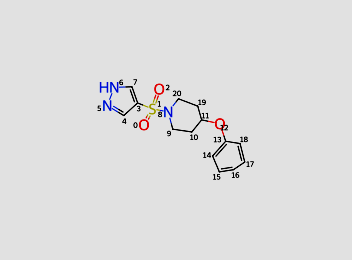 O=S(=O)(c1cn[nH]c1)N1CCC(Oc2ccccc2)CC1